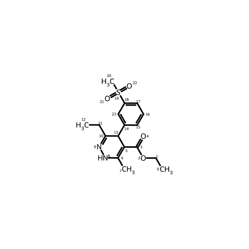 CCOC(=O)C1=C(C)NN=C(CC)C1c1cccc(S(C)(=O)=O)c1